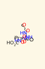 CC(C)C[C@H](NC(=O)[C@H](Cc1ccccc1)NC(=O)CNC(=O)C=Cc1ccco1)C(=O)NCC(=O)O